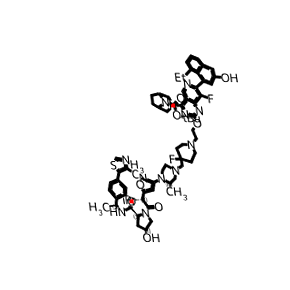 CCc1cccc2cc(O)cc(-c3ncc4c(N5CC6CCC(C5)N6C(=O)OC(C)(C)C)nc(OCCN5CCC(F)(CN6CCN(c7cc([C@H](C(=O)N8C[C@H](O)C[C@H]8C(=O)N[C@@H](C)c8ccc(-c9scnc9C)cc8)C(C)C)on7)[C@H](C)C6)CC5)nc4c3F)c12